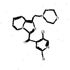 O=C(c1cc(Br)ncc1Cl)c1nc(CN2CCOCC2)c2ccccn12